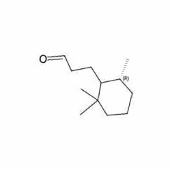 C[C@@H]1CCCC(C)(C)C1CCC=O